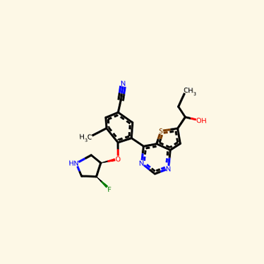 CCC(O)c1cc2ncnc(-c3cc(C#N)cc(C)c3O[C@@H]3CNC[C@@H]3F)c2s1